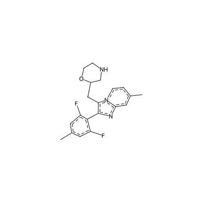 Cc1cc(F)c(-c2nc3cc(C)ccn3c2CC2CNCCO2)c(F)c1